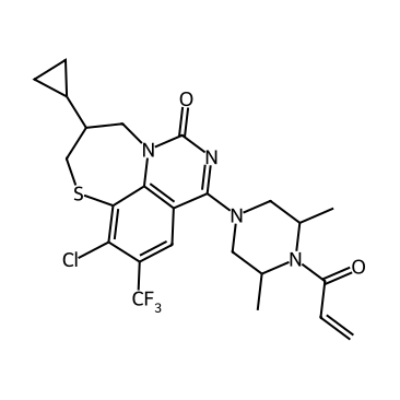 C=CC(=O)N1C(C)CN(c2nc(=O)n3c4c(c(Cl)c(C(F)(F)F)cc24)SCC(C2CC2)C3)CC1C